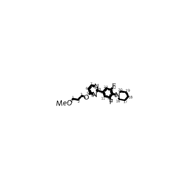 COCCCOc1ccnc(-c2cc(F)c(N3CCCCC3)c(F)c2)n1